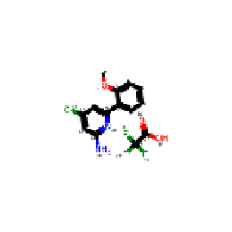 COc1ccccc1-c1cc(Cl)cc(N)n1.O=C(O)C(F)(F)F